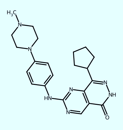 CN1CCN(c2ccc(Nc3ncc4c(=O)[nH]nc(C5CCCC5)c4n3)cc2)CC1